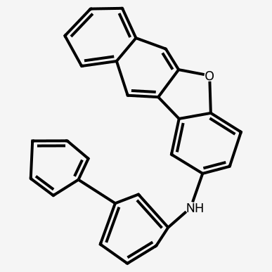 c1ccc(-c2cccc(Nc3ccc4oc5cc6ccccc6cc5c4c3)c2)cc1